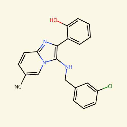 N#Cc1ccc2nc(-c3ccccc3O)c(NCc3cccc(Cl)c3)n2c1